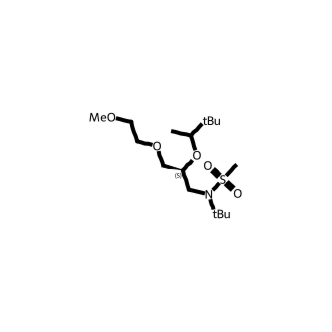 COCCOC[C@H](CN(C(C)(C)C)S(C)(=O)=O)OC(C)C(C)(C)C